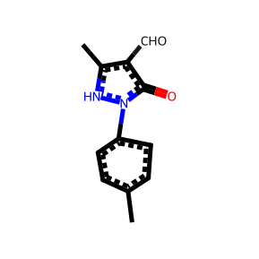 Cc1ccc(-n2[nH]c(C)c(C=O)c2=O)cc1